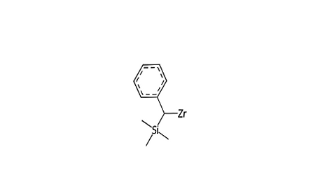 C[Si](C)(C)[CH]([Zr])c1ccccc1